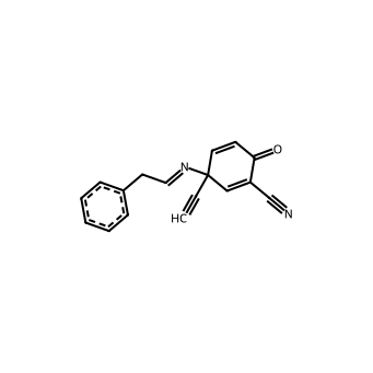 C#CC1(/N=C/Cc2ccccc2)C=CC(=O)C(C#N)=C1